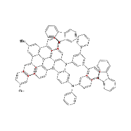 CC(C)(C)c1cccc(-c2ccc3c(c2)N(c2c(-c4ccccc4)cc(C(C)(C)C)cc2-c2ccccc2)c2cc(-n4c5ccccc5c5ccccc54)cc4c2B3c2ccc(N(c3ccccc3)c3ccc(-n5c6ccccc6c6ccccc65)cc3)cc2N4c2cc(-c3ccccc3)cc(-c3ccccc3)c2)c1